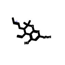 C=CC1c2c(O)cc(CCCCC)nc2OC(C)(C)C1C/C=C/C